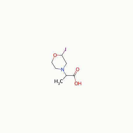 CC(C(=O)O)N1CCOC(I)C1